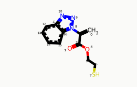 C=C(C(=O)OCCS)n1nnc2ccccc21